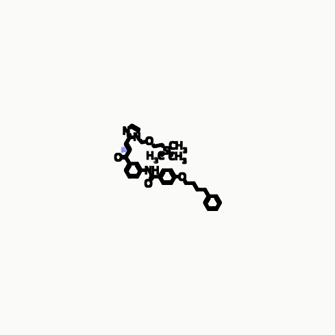 C[Si](C)(C)CCOCn1ccnc1/C=C/C(=O)c1cccc(NC(=O)c2ccc(OCCCCc3ccccc3)cc2)c1